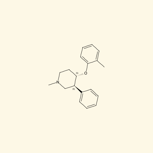 Cc1ccccc1O[C@H]1CCN(C)C[C@@H]1c1ccccc1